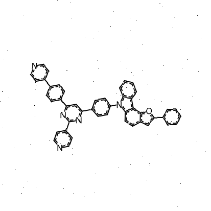 c1ccc(-c2cc3ccc4c(c5ccccc5n4-c4ccc(-c5cc(-c6ccc(-c7ccncc7)cc6)nc(-c6ccncc6)n5)cc4)c3o2)cc1